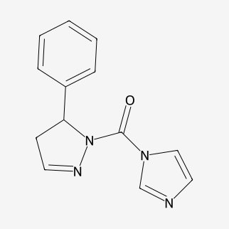 O=C(N1N=CCC1c1ccccc1)n1ccnc1